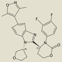 Cc1noc(C)c1-c1ccc2c(c1)nc([C@@H]1CCOC(=O)N1c1ccc(F)c(F)c1)n2[C@@H]1CCOC1